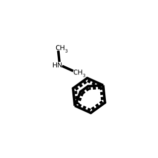 CNC.c1cc2ccc1cc2